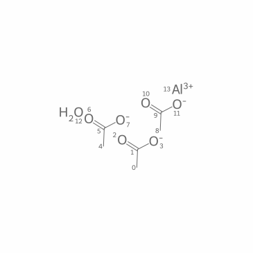 CC(=O)[O-].CC(=O)[O-].CC(=O)[O-].O.[Al+3]